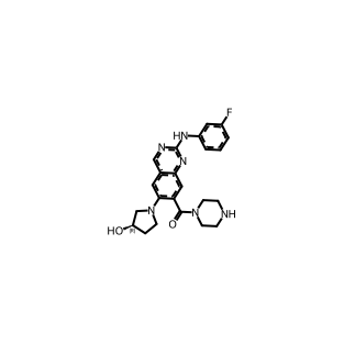 O=C(c1cc2nc(Nc3cccc(F)c3)ncc2cc1N1CC[C@@H](O)C1)N1CCNCC1